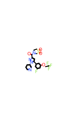 O=C(c1cc(-c2cc(F)cc(OCC(F)(F)F)c2)n(-c2cccnc2)n1)N1CCS(=O)(=O)C1